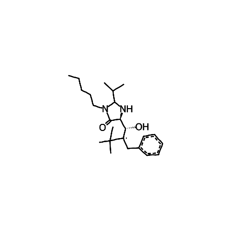 CCCCCN1C(=O)[C@H]([C@H](O)[C](Cc2ccccc2)C(C)(C)C)NC1C(C)C